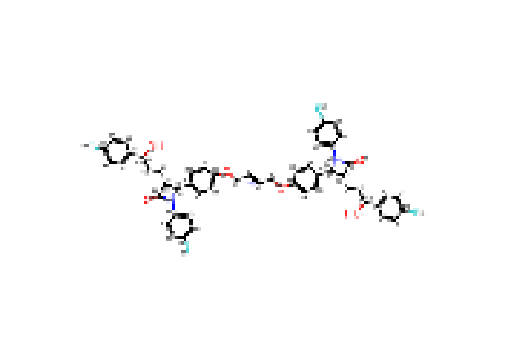 O=C1[C@H](CC[C@H](O)c2ccc(F)cc2)[C@@H](c2ccc(OC/C=C/COc3ccc([C@@H]4[C@@H](CC[C@H](O)c5ccc(F)cc5)C(=O)N4c4ccc(F)cc4)cc3)cc2)N1c1ccc(F)cc1